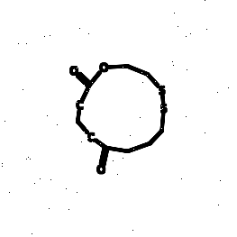 O=C1CCCSSCCOC(=O)CCC1